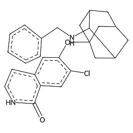 O=c1[nH]ccc2cc(OC34CC5CC(C3)C(NCc3ccccc3)C(C5)C4)c(Cl)cc12